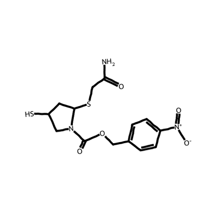 NC(=O)CSC1CC(S)CN1C(=O)OCc1ccc([N+](=O)[O-])cc1